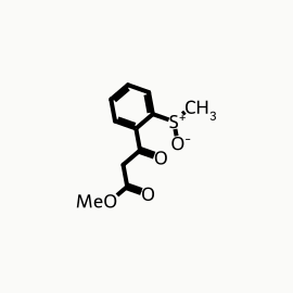 COC(=O)CC(=O)c1ccccc1[S+](C)[O-]